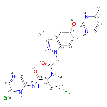 CC(=O)c1nn(CC(=O)N2C[C@H](F)C[C@H]2C(=O)Nc2cncc(Br)n2)c2ccc(Oc3nccc(C)n3)cc12